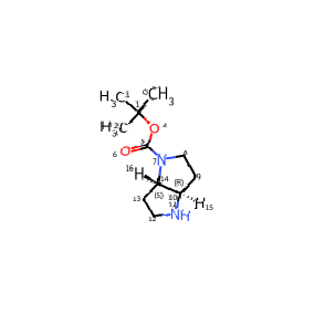 CC(C)(C)OC(=O)N1CC[C@H]2NCC[C@@H]21